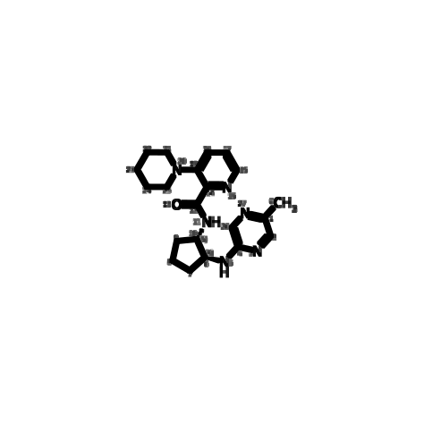 Cc1cnc(N[C@H]2CCC[C@@H]2NC(=O)c2ncccc2N2CCCCC2)cn1